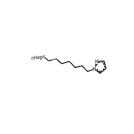 CCCCCCCCCCCCCCn1cccn1